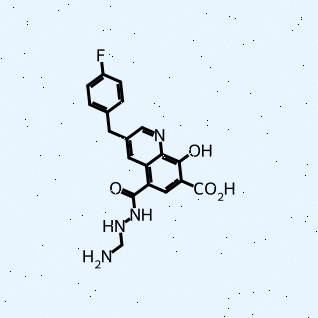 NCNNC(=O)c1cc(C(=O)O)c(O)c2ncc(Cc3ccc(F)cc3)cc12